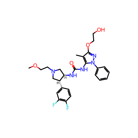 COCCN1C[C@@H](NC(=O)Nc2c(C)c(OCCO)nn2-c2ccccc2)[C@H](c2ccc(F)c(F)c2)C1